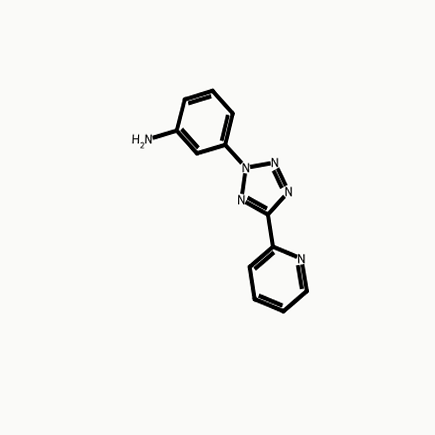 Nc1cccc(-n2nnc(-c3ccccn3)n2)c1